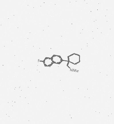 CNCC1(c2ccc3cc(F)ccc3c2)CCCCC1